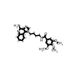 COc1cc(C(=O)NCCCCn2cnc3c(N)nc4ccccc4c32)cc(OC)c1OC